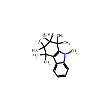 Cn1c2c(c3ccccc31)C(C)(C)C(C)(C)C(C)(C)C2(C)C